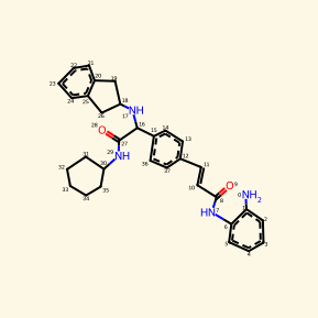 Nc1ccccc1NC(=O)C=Cc1ccc(C(NC2Cc3ccccc3C2)C(=O)NC2CCCCC2)cc1